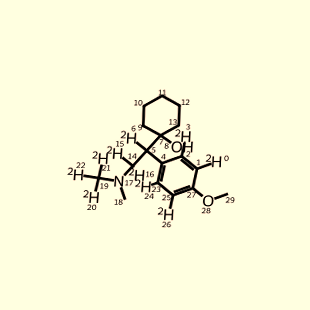 [2H]c1c([2H])c(C([2H])(C2(O)CCCCC2)C([2H])([2H])N(C)C([2H])([2H])[2H])c([2H])c([2H])c1OC